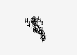 CC1(CO[Si](C)(C)C(C)(C)C)Cc2nnc(-c3ccc(Oc4ccc(F)cc4)cc3Cl)n2CCS1